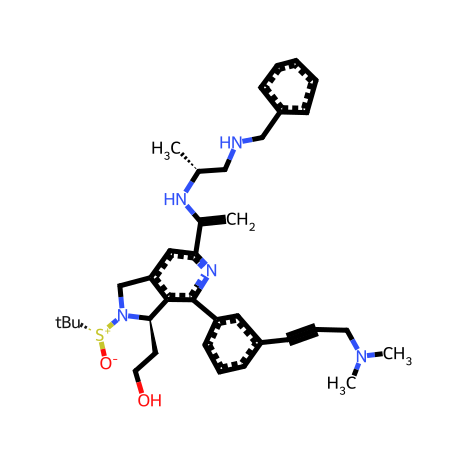 C=C(N[C@H](C)CNCc1ccccc1)c1cc2c(c(-c3cccc(C#CCN(C)C)c3)n1)[C@@H](CCO)N([S@+]([O-])C(C)(C)C)C2